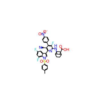 Cc1ccc(S(=O)(=O)n2cc(-c3nc(NC4C5CCC(CC5)C4C(=O)O)c(F)c(-c4ccc([N+](=O)[O-])cc4)c3C#N)c3cc(F)cc(F)c32)cc1